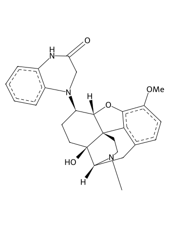 COc1ccc2c3c1O[C@H]1[C@H](N4CC(=O)Nc5ccccc54)CC[C@@]4(O)[C@@H](C2)N(C)CC[C@]314